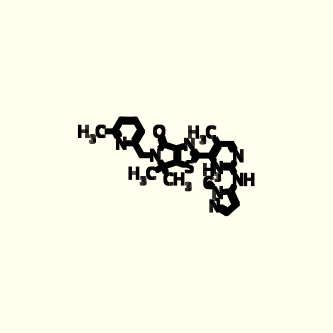 Cc1cccc(CN2C(=O)c3nc(-c4nc(Nc5ccnn5C)ncc4C)sc3C2(C)C)n1